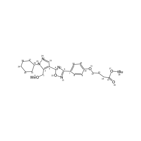 COCc1c(-c2nc(-c3ccc(OCCCC(=O)OC(C)(C)C)cc3)no2)cnn1C1CCCCC1